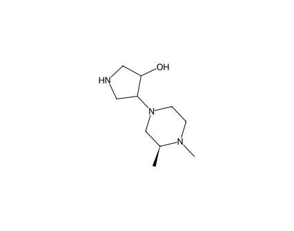 C[C@H]1CN(C2CNCC2O)CCN1C